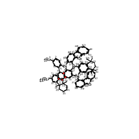 CC(C)(C)c1ccc(N2c3cc(N4c5ccc(C(C)(C)C)cc5C5(C)CCCCC45C)cc4c3B(c3cc5c(cc3N4c3cccc4sc6ccccc6c34)C(C)(C)CCC5(C)C)c3c2ccc2c3sc3ccccc32)c(-c2ccccc2)c1